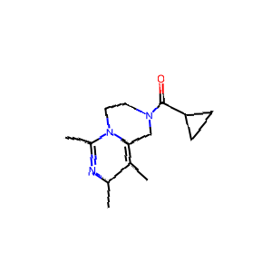 CC1=NC(C)C(C)=C2CN(C(=O)C3CC3)CCN12